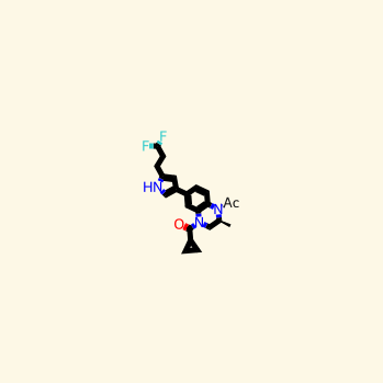 CC(=O)N1c2ccc(-c3c[nH]c(CCC(F)F)c3)cc2N(C(=O)C2CC2)C[C@@H]1C